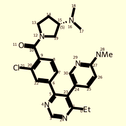 CCc1ncnc(-c2ccc(C(=O)N3CC[C@H](N(C)C)C3)c(Cl)c2)c1-c1ccc(NC)nc1